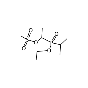 CCOP(=O)(C(C)C)C(C)OS(C)(=O)=O